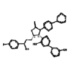 Oc1cccc(-c2ccc([C@@H]3[C@H](CCC(O)c4ccc(F)cc4)SC(=S)N3c3ccc(-c4ccccc4)cc3)c(O)c2)c1